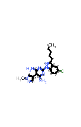 CCCCCc1nn(-c2nc(N)c(-c3cnn(C)c3)c(N)n2)c2ccc(Cl)cc12